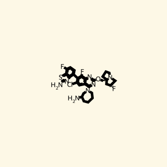 Nc1nc2c(-c3c(Cl)cc4c(N5CCCCC(N)C5)nc(OC[C@@]56CCCN5C[C@H](F)C6)nc4c3F)ccc(F)c2s1